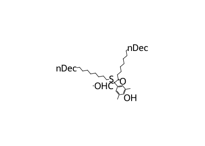 CCCCCCCCCCCCCCCCCCSC([C]=O)(C(=O)CCCCCCCCCCCCCCCCC)c1cc(C)c(O)c(C)c1